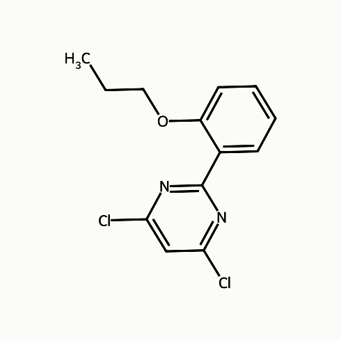 CCCOc1ccccc1-c1nc(Cl)cc(Cl)n1